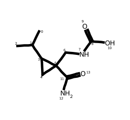 CC(C)C1CC1(CNC(=O)O)C(N)=O